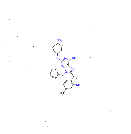 Cc1ccc(Cc2nc3c(N)nc(NC4CCC(N)CC4)nc3n2Cc2ccccc2)c(N)c1